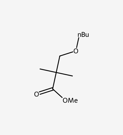 CCCCOCC(C)(C)C(=O)OC